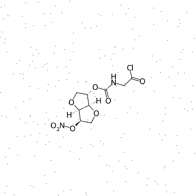 O=C(Cl)CNC(=O)O[C@H]1CO[C@H]2[C@@H]1OC[C@H]2O[N+](=O)[O-]